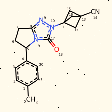 Cc1ccc(C2CCc3nn(C45CC(C#N)(C4)C5)c(=O)n32)cc1